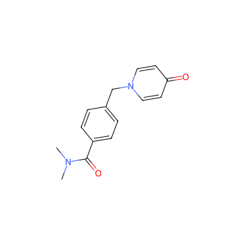 CN(C)C(=O)c1ccc(Cn2ccc(=O)cc2)cc1